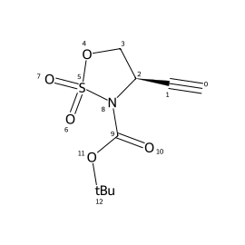 C#C[C@@H]1COS(=O)(=O)N1C(=O)OC(C)(C)C